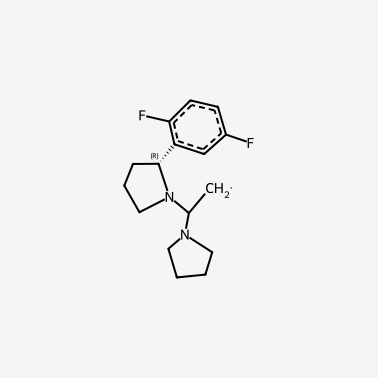 [CH2]C(N1CCCC1)N1CCC[C@@H]1c1cc(F)ccc1F